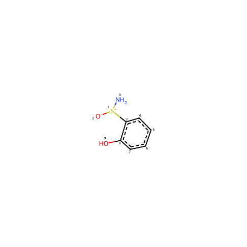 N[S+]([O-])c1ccccc1O